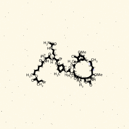 C=C(CBr)C(=O)OC(C)CCCCC(=O)N[C@H](C(=O)N[C@@H](CCCNC(N)=O)C(=O)Nc1ccc(NC(=O)O[C@H]2CC(=O)N(C)c3cc(cc(OC)c3Cl)C/C(C)=C/C=C/[C@@H](OC)[C@@]3(O)C[C@H](OC(=O)N3)[C@@H](C)[C@@H]3O[C@@]23C)c(C)c1)C(C)C